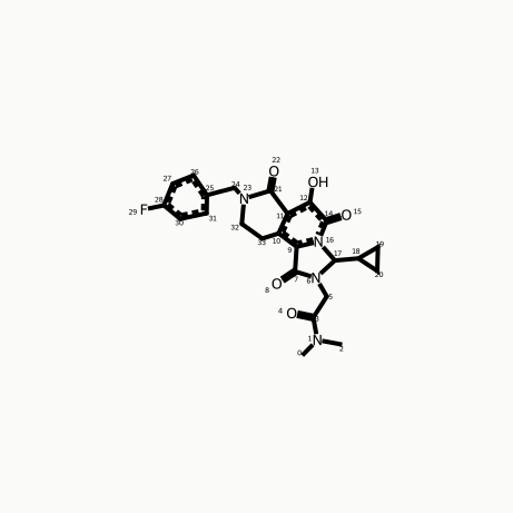 CN(C)C(=O)CN1C(=O)c2c3c(c(O)c(=O)n2C1C1CC1)C(=O)N(Cc1ccc(F)cc1)CC3